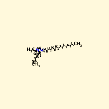 CCCCCCCCCCCCCCCCCC[n+]1ccn(C(C)C)c1CCCCCCC